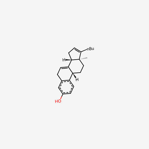 CCCCC1=CC[C@H]2C3=CCc4cc(O)ccc4[C@H]3CC[C@]12C